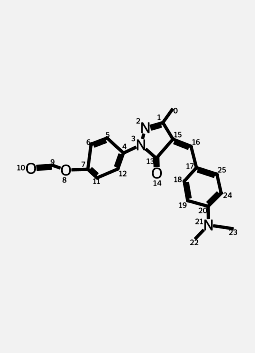 CC1=NN(c2ccc(OC=O)cc2)C(=O)C1=Cc1ccc(N(C)C)cc1